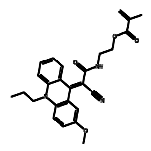 C=C(C)C(=O)OCCNC(=O)C(C#N)=C1c2ccccc2N(CCC)c2ccc(OC)cc21